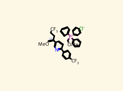 CO/C=C(/CCC(F)(F)F)c1ccc(-c2ccc(C(F)(F)F)cc2)nc1.COC[P+](c1ccccc1)(c1ccccc1)c1ccccc1.[Cl-]